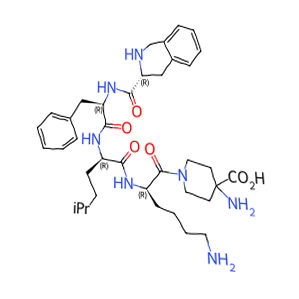 CC(C)CC[C@@H](NC(=O)[C@@H](Cc1ccccc1)NC(=O)[C@H]1Cc2ccccc2CN1)C(=O)N[C@H](CCCCN)C(=O)N1CCC(N)(C(=O)O)CC1